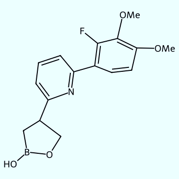 COc1ccc(-c2cccc(C3COB(O)C3)n2)c(F)c1OC